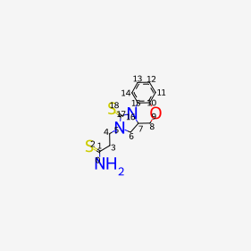 NC(=S)CCN1CC2COc3ccccc3N2C1=S